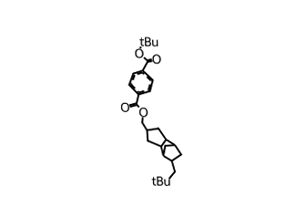 CC(C)(C)CC1CC2CC1C1CC(COC(=O)c3ccc(C(=O)OC(C)(C)C)cc3)CC21